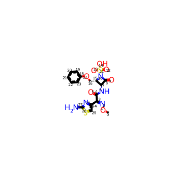 CON=C(C(=O)N[C@H]1C(=O)N(S(=O)(=O)O)[C@H]1COc1ccccc1)c1csc(N)n1